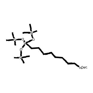 CCCCCCCCCCCCCCCCCC[Si](O[Si](C)(C)C)(O[Si](C)(C)C)O[Si](C)(C)C